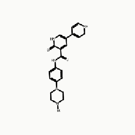 CCN1CCN(c2ccc(NC(=O)c3cc(C4=CCNC=C4)c[nH]c3=O)cc2)CC1